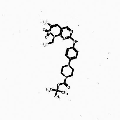 CCN1c2nc(Nc3ccc(N4CCN(C(=O)OC(C)(C)C)CC4)cc3)ncc2C=C(C)S1(=O)=O